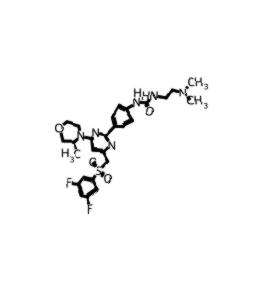 C[C@H]1COCCN1c1cc(CS(=O)(=O)c2cc(F)cc(F)c2)nc(-c2ccc(NC(=O)NCCN(C)C)cc2)n1